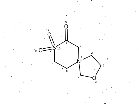 O=C1C[N+]2(CCOC2)CCS1(=O)=O